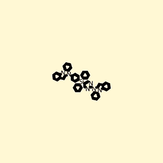 c1ccc([Si](c2ccccc2)(c2ccc(-n3c4ccccc4n4c5ccccc5cc34)cc2)c2cnc(-n3c4ccccc4n4c5ccccc5cc34)nc2)cc1